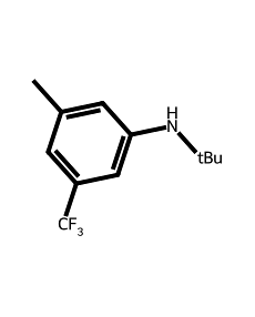 Cc1cc(NC(C)(C)C)cc(C(F)(F)F)c1